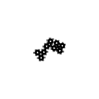 c1ccc2c(c1)-c1ccccc1C21c2ccccc2-c2ccc(-n3c4ccccc4c4ccc(-c5ccc6c7ccccc7c7ccccc7c6c5)cc43)cc21